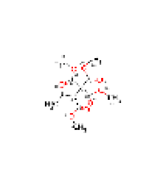 CCC(C(=O)OC)C(C(=O)OC)(C(=O)OC)C(=O)OC